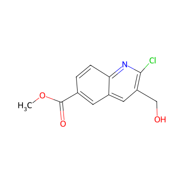 COC(=O)c1ccc2nc(Cl)c(CO)cc2c1